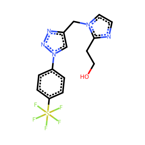 OCCc1nccn1Cc1cn(-c2ccc(S(F)(F)(F)(F)F)cc2)nn1